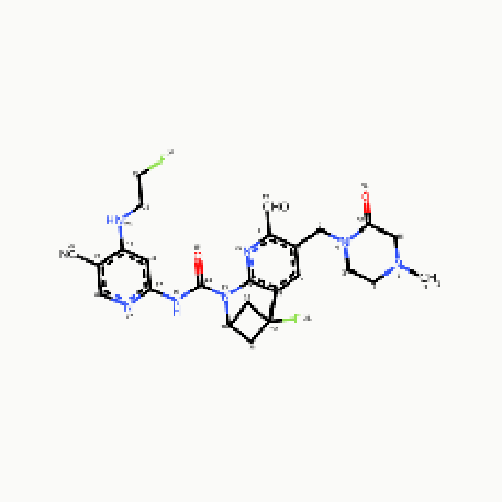 CN1CCN(Cc2cc3c(nc2C=O)N(C(=O)Nc2cc(NCCF)c(C#N)cn2)C2CC3(F)C2)C(=O)C1